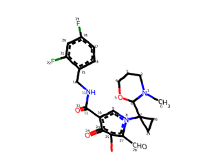 CN1CCCOC1C1(n2cc(C(=O)NCc3ccc(F)cc3F)c(=O)c(O)c2C=O)CC1